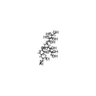 CCC1Cc2cc(OCCN(C[C@@H](O)[C@@H](O)[C@H](O)[C@H](O)CO)C[C@@H](O)[C@@H](O)[C@H](O)[C@H](O)CO)ccc2CC1CSC(C)=O